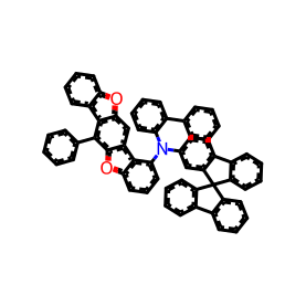 c1ccc(-c2ccccc2N(c2ccc3c(c2)C2(c4ccccc4-c4ccccc42)c2ccccc2-3)c2cccc3oc4c(-c5ccccc5)c5c(cc4c23)oc2ccccc25)cc1